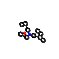 c1ccc2c(-c3ccc(N(c4ccc(-c5cc6ccccc6c6ccc7ccccc7c56)cc4)c4cccc5c4oc4ccccc45)cc3)cccc2c1